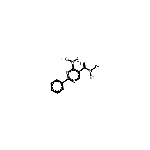 CCN(CC)C(=O)c1cnc(-c2ccccc2)nc1N(C)C